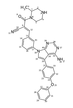 CC1CNCCN1C(=O)/C(C#N)=C/c1cccc(-n2cc(-c3ccc(Oc4ccccc4)cc3)c3c(N)ncnc32)c1